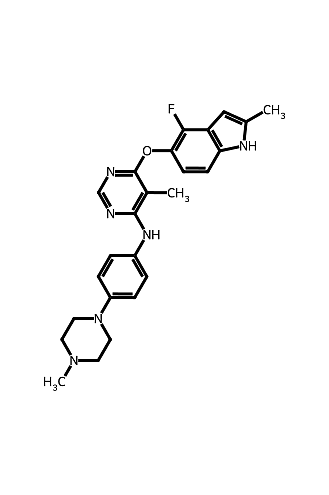 Cc1cc2c(F)c(Oc3ncnc(Nc4ccc(N5CCN(C)CC5)cc4)c3C)ccc2[nH]1